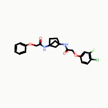 O=C(COc1ccccc1)NC12CCC(NC(=O)COc3ccc(Cl)c(F)c3)(C1)C2